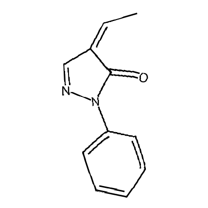 CC=C1C=NN(c2ccccc2)C1=O